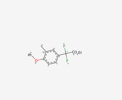 CCOC(=O)C(F)(F)c1ccc(OC(C)C)c(C)c1